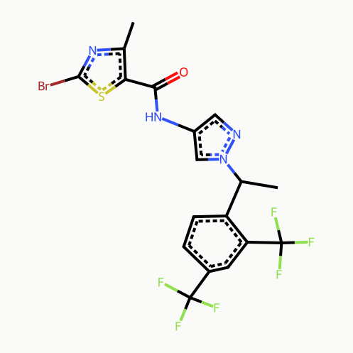 Cc1nc(Br)sc1C(=O)Nc1cnn(C(C)c2ccc(C(F)(F)F)cc2C(F)(F)F)c1